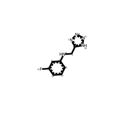 Fc1[c]c(NCc2nnn[nH]2)ccc1